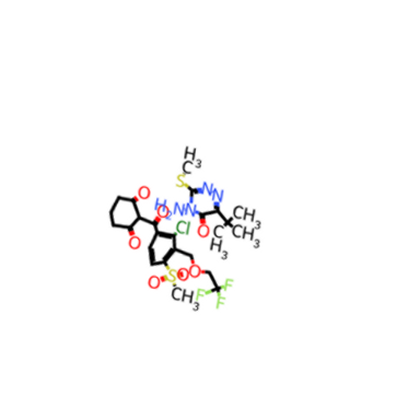 CS(=O)(=O)c1ccc(C(=O)C2C(=O)CCCC2=O)c(Cl)c1COCC(F)(F)F.CSc1nnc(C(C)(C)C)c(=O)n1N